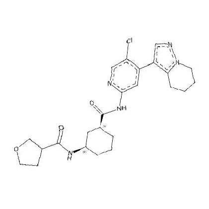 O=C(N[C@@H]1CCC[C@H](C(=O)Nc2cc(-c3cnn4c3CCCC4)c(Cl)cn2)C1)C1CCOC1